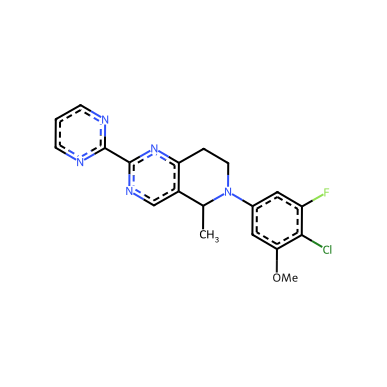 COc1cc(N2CCc3nc(-c4ncccn4)ncc3C2C)cc(F)c1Cl